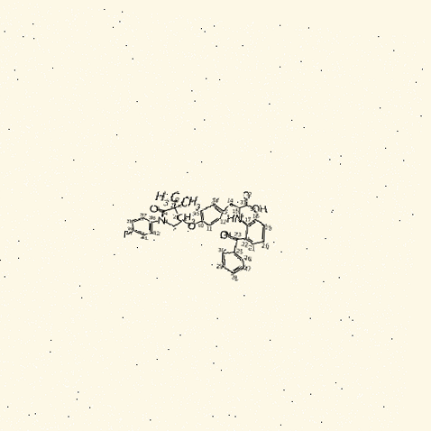 CC(C)(C)C(=O)N(CCOc1ccc(C[C@H](Nc2ccccc2C(=O)c2ccccc2)C(=O)O)cc1)c1ccc(F)cc1